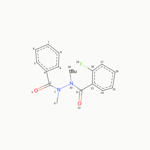 CN(C(=O)c1ccccc1)N(C(=O)c1ccccc1F)C(C)(C)C